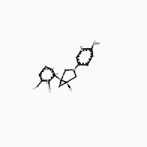 COc1ccc(N2C[C@@H]3C[C@]3(c3cccc(F)c3Cl)C2)cn1